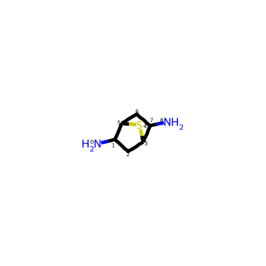 NC1CC2SC1CC2N